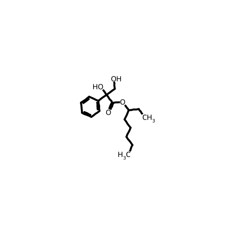 CCCCCC(CC)OC(=O)C(O)(CO)c1ccccc1